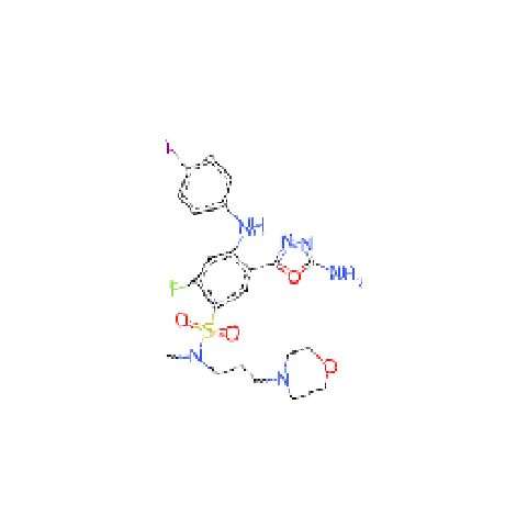 CN(CCCN1CCOCC1)S(=O)(=O)c1cc(-c2nnc(N)o2)c(Nc2ccc(I)cc2)cc1F